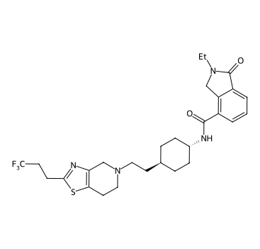 CCN1Cc2c(C(=O)N[C@H]3CC[C@H](CCN4CCc5sc(CCC(F)(F)F)nc5C4)CC3)cccc2C1=O